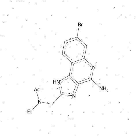 CCN(Cc1nc2c(N)nc3cc(Br)ccc3c2[nH]1)C(C)=O